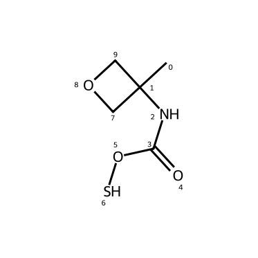 CC1(NC(=O)OS)COC1